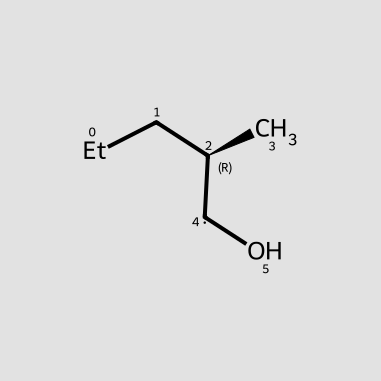 CCC[C@@H](C)[CH]O